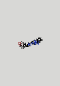 [2H]C([2H])(Br)CC1C2CN(c3ccn4c(n3)nc3ccccc34)CC21